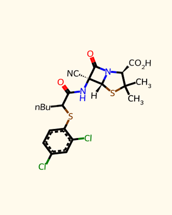 CCCCC(Sc1ccc(Cl)cc1Cl)C(=O)N[C@@]1(C#N)C(=O)N2[C@@H](C(=O)O)C(C)(C)S[C@@H]21